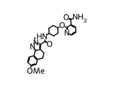 COc1ccc2c(c1)CCc1c-2nn(C)c1C(=O)NC1CCC(Oc2ncccc2C(N)=O)CC1